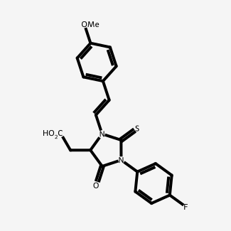 COc1ccc(C=CN2C(=S)N(c3ccc(F)cc3)C(=O)C2CC(=O)O)cc1